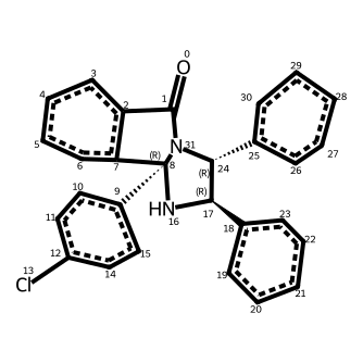 O=C1c2ccccc2[C@]2(c3ccc(Cl)cc3)N[C@H](c3ccccc3)[C@@H](c3ccccc3)N12